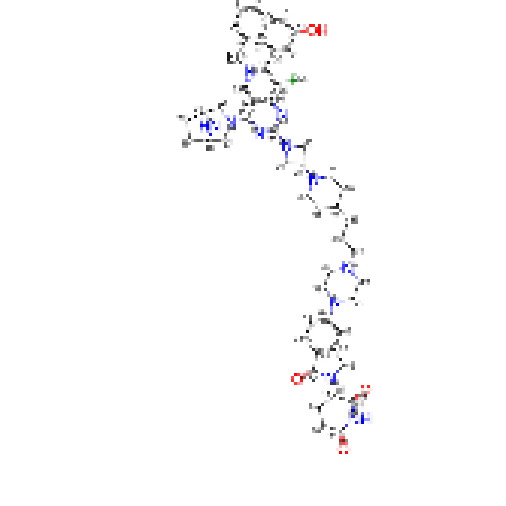 CCc1cccc2cc(O)cc(-c3ncc4c(N5CC6CCC(C5)N6)nc(N5CC(N6CCC(CCCN7CCN(c8ccc9c(c8)CN([C@H]8CCC(=O)NC8=O)C9=O)CC7)CC6)C5)nc4c3F)c12